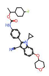 CC(OC(=O)Nc1ccc(-c2c(C#N)c3ccc(OC4CCOCC4)cc3n2C2CC2)cc1)C1CCC(F)CC1